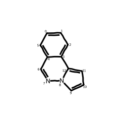 c1ccc2c(c1)cnn1cccc21